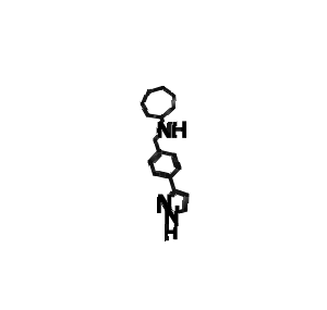 c1cc(-c2ccc(CNC3CCCCCC3)cc2)n[nH]1